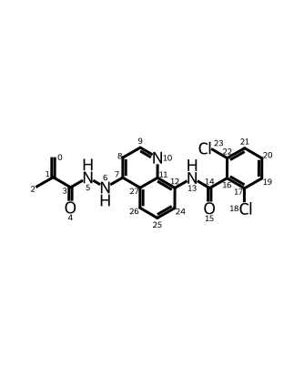 C=C(C)C(=O)NNc1ccnc2c(NC(=O)c3c(Cl)cccc3Cl)cccc12